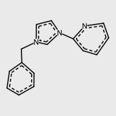 c1ccc(C[n+]2ccn(-c3ccccn3)c2)cc1